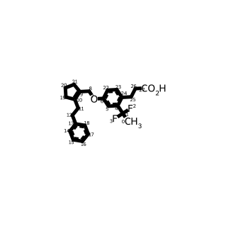 CC(F)(F)c1cc(OCC2=C(CCc3ccccc3)CCC2)ccc1CCC(=O)O